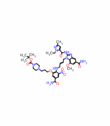 CCn1nc(C)cc1C(=O)Nc1nc2cc(C(N)=O)cc(OC)c2n1CC=CCNc1c(OCCCN2CCN(C(=O)OC(C)(C)C)CC2)cc(C(N)=O)cc1[N+](=O)[O-]